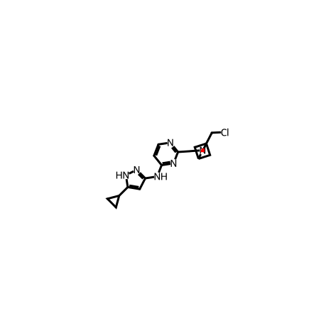 ClCC12CC(C1)N(c1nccc(Nc3cc(C4CC4)[nH]n3)n1)C2